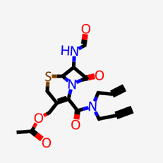 C#CCN(CC#C)C(=O)C1=C(COC(C)=O)CSC2C(NC=O)C(=O)N12